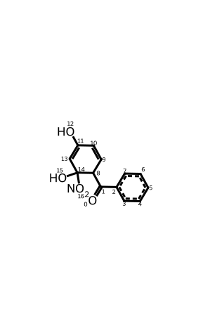 O=C(c1ccccc1)C1C=CC(O)=CC1(O)[N+](=O)[O-]